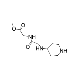 COC(=O)CNC(=O)CNC1CCNCC1